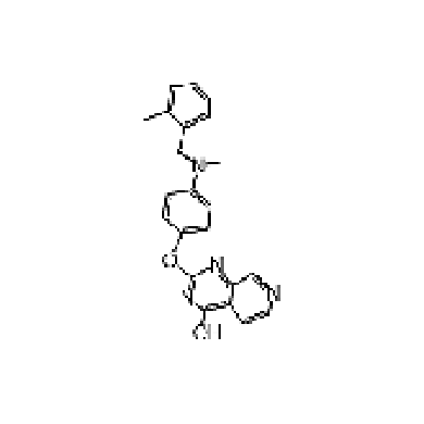 Cc1ccccc1CN(C)c1ccc(Oc2nc(O)c3ccncc3n2)cc1